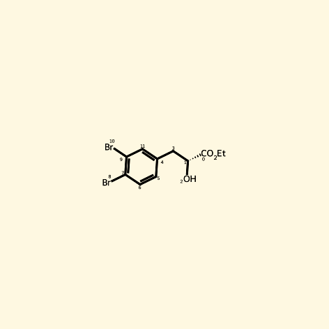 CCOC(=O)[C@H](O)Cc1ccc(Br)c(Br)c1